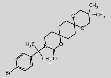 CC1(C)COC2(CCC3(CCN(C(C)(C)c4ccc(Br)cc4)C(=O)O3)CC2)OC1